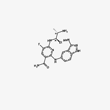 CC[C@@H](Nc1nc(Nc2ccc3[nH]nc(NC)c3c2)c(C(N)=O)cc1F)[C@H](C)N